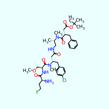 COC[C@H](NC(=O)[C@@H](N)CCF)C(=O)N(C)[C@H](CC(=O)NC[C@H](C)N(C)C(=O)[C@H](CC(=O)OC(C)(C)C)Cc1ccccc1)Cc1ccc(Cl)cc1